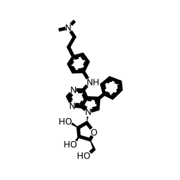 CN(C)CCc1ccc(Nc2ncnc3c2c(-c2ccccc2)cn3[C@@H]2O[C@@H](CO)[C@@H](O)[C@H]2O)cc1